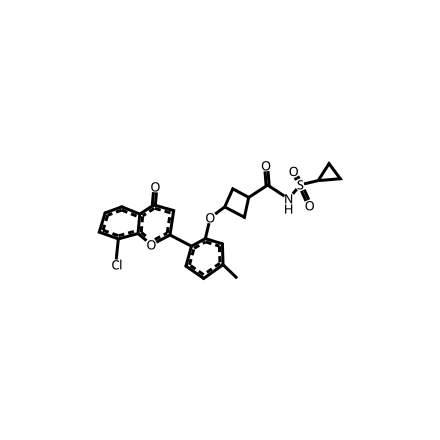 Cc1ccc(-c2cc(=O)c3cccc(Cl)c3o2)c(OC2CC(C(=O)NS(=O)(=O)C3CC3)C2)c1